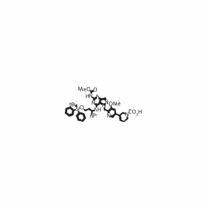 CCCC(CCO[Si](c1ccccc1)(c1ccccc1)C(C)(C)C)Nc1nc(NC(=O)OC)nc2cnn(Cc3ncc(C4=CCCN(C(=O)O)C4)cc3OC)c12